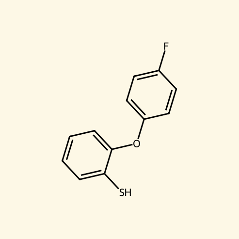 Fc1ccc(Oc2ccccc2S)cc1